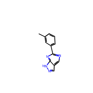 Cc1cccc(-c2ncc3cn[nH]c3n2)c1